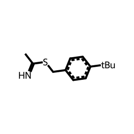 CC(=N)SCc1ccc(C(C)(C)C)cc1